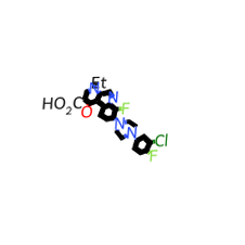 CCn1cc(C(=O)O)c(=O)c2c3ccc(N4CCN(c5ccc(F)c(Cl)c5)CC4)c(F)c3ncc21